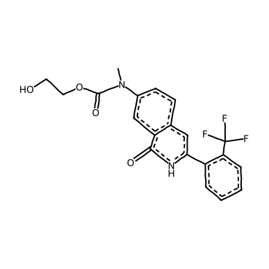 CN(C(=O)OCCO)c1ccc2cc(-c3ccccc3C(F)(F)F)[nH]c(=O)c2c1